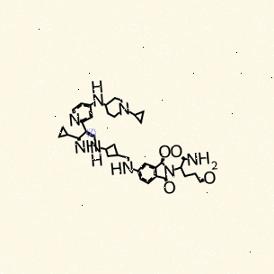 N=C(/C(=C\NC1CC(CNc2ccc3c(c2)C(=O)N(C(CCC=O)C(N)=O)C3=O)C1)c1cc(NC2CCN(C3CC3)CC2)ccn1)C1CC1